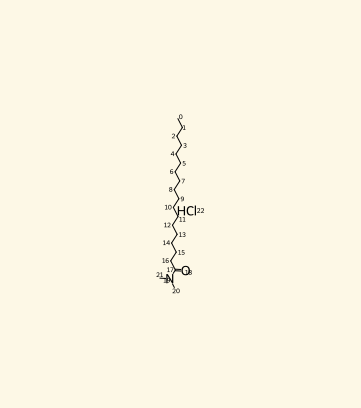 CCCCCCCCCCCCCCCCCC(=O)N(C)C.Cl